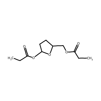 CCC(=O)OCC1CCC(OC(=O)CC)O1